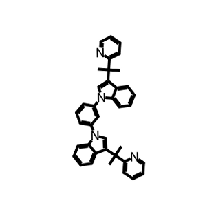 CC(C)(c1ccccn1)c1cn(-c2cccc(-n3cc(C(C)(C)c4ccccn4)c4ccccc43)c2)c2ccccc12